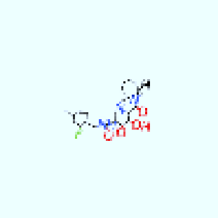 Cc1ccc(CNC(=O)c2cn3c(c(O)c2=O)C(=O)N2C[C@H]4CCC[C@@]2(C4)C3)c(F)c1